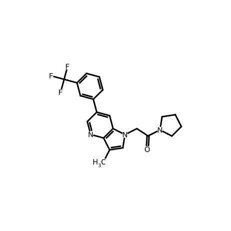 Cc1cn(CC(=O)N2CCCC2)c2cc(-c3cccc(C(F)(F)F)c3)cnc12